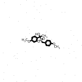 COc1ccc(CS(=O)(=O)C(C)(O)c2ccc(OC)cc2)cc1